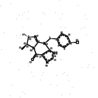 C[C@@H]1N=C2N(Cc3ccc(Cl)cc3)c3[nH]cnc3C(=O)N2[C@H]1C